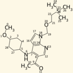 COC1CCC(Nc2c(C(C)=O)cnc3c2ccn3COCC[Si](C)(C)C)CC1